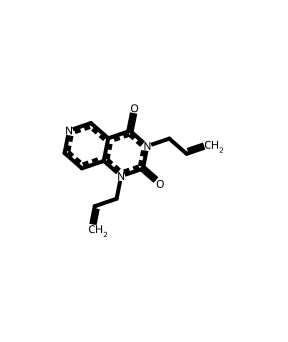 C=CCn1c(=O)c2cnccc2n(CC=C)c1=O